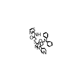 O=C(CSC1=NC(CC(=O)N(c2ccccc2)c2ccccc2)(c2ccncc2)N=N1)Nc1nccs1